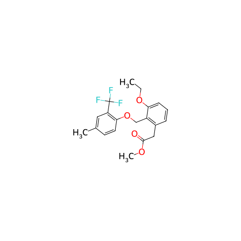 CCOc1cccc(CC(=O)OC)c1COc1ccc(C)cc1C(F)(F)F